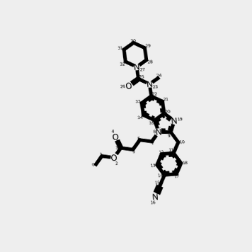 CCOC(=O)CCCn1c(Cc2ccc(C#N)cc2)nc2cc(N(C)C(=O)N3CCCCC3)ccc21